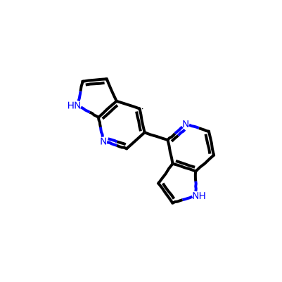 [c]1c(-c2nccc3[nH]ccc23)cnc2[nH]ccc12